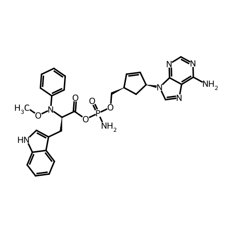 CON(c1ccccc1)[C@H](Cc1c[nH]c2ccccc12)C(=O)OP(N)(=O)OC[C@H]1C=C[C@@H](n2cnc3c(N)ncnc32)C1